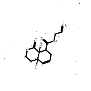 C=CCNC(=O)C1CC=C[C@@H]2CCOC(=O)[C@H]12